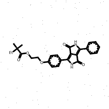 CCC(C)(C)C(=O)OCCOc1ccc(C2=C3C(=O)NC(c4ccccc4)=C3C(=O)N2)cc1